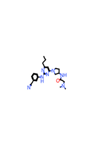 CCCc1cc(N2CCC(NC(=O)CN(C)C)C2)nc(Nc2cccc(C#N)c2)n1